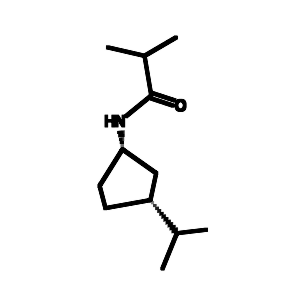 CC(C)C(=O)N[C@H]1CC[C@@H](C(C)C)C1